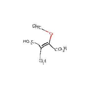 O=COC(C(=O)O)=C(C(=O)O)C(=O)O